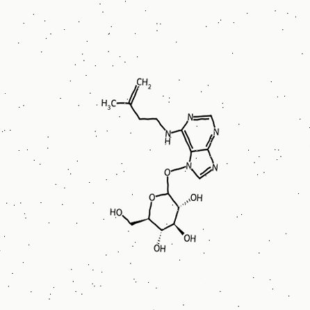 C=C(C)CCNc1ncnc2ncn(OC3O[C@H](CO)[C@@H](O)[C@H](O)[C@H]3O)c12